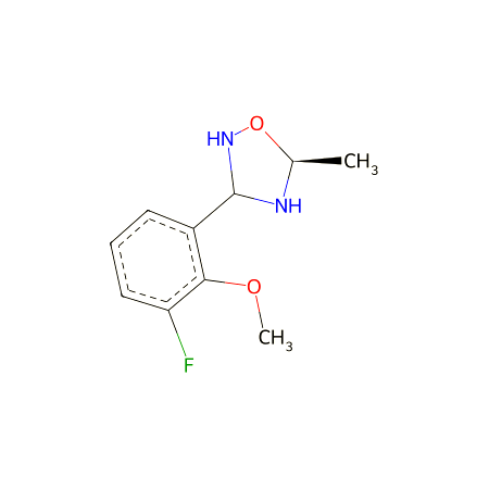 COc1c(F)cccc1C1NO[C@@H](C)N1